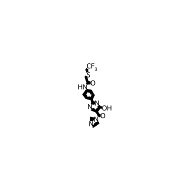 O=C(CSCC(F)(F)F)Nc1ccc(-c2ncc(C(=O)n3ccnc3)c(O)n2)cc1